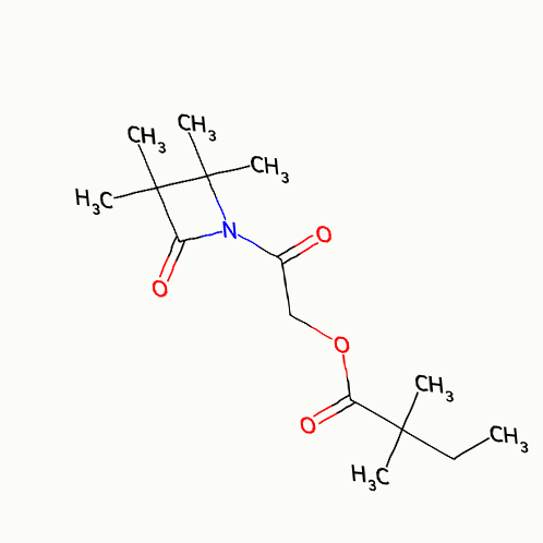 CCC(C)(C)C(=O)OCC(=O)N1C(=O)C(C)(C)C1(C)C